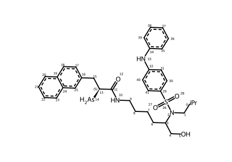 CC(C)CN(C(CO)CCCCNC(=O)[C@@H]([AsH2])Cc1ccc2ccccc2c1)S(=O)(=O)c1ccc(Nc2ccccc2)cc1